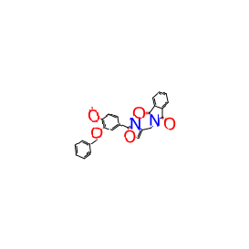 COc1ccc(-c2nc(CN3C(=O)c4ccccc4C3=O)co2)cc1OCc1ccccc1